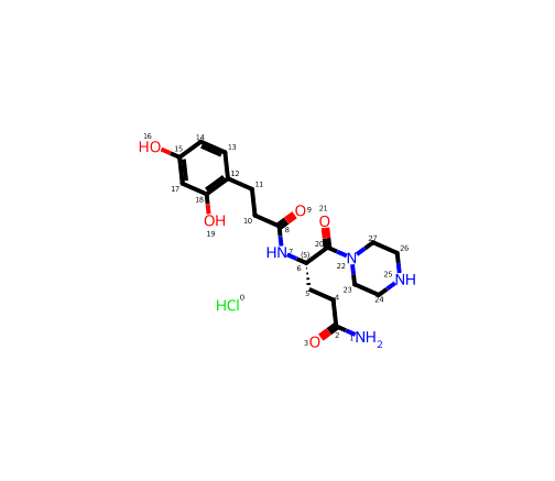 Cl.NC(=O)CC[C@H](NC(=O)CCc1ccc(O)cc1O)C(=O)N1CCNCC1